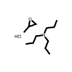 CC1CO1.CCCN(CCC)CCC.Cl